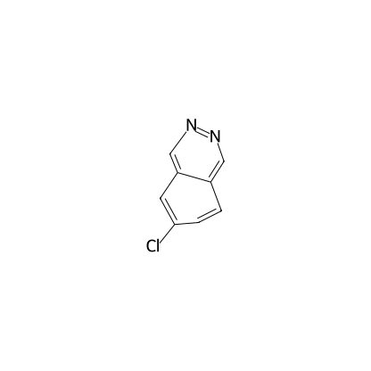 Clc1ccc2cnncc2c1